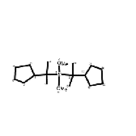 CO[Si](OC)(C(C)(C)C1CCCC1)C(C)(C)C1CCCC1